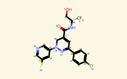 O=C(N[C@H](CO)C(F)(F)F)C1=CC(c2ccc(Cl)cc2)=NN(c2cncc(F)c2)C1